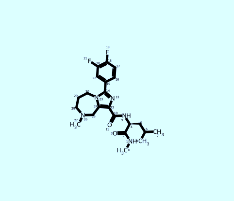 CNC(=O)[C@H](CC(C)C)NC(=O)c1nc(-c2ccc(F)c(F)c2)n2c1CN(C)CCC2